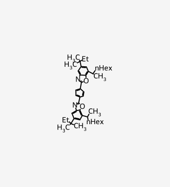 CCCCCCC(C)c1cc(C(C)(C)CC)cc2nc(-c3ccc(-c4nc5cc(C(C)(C)CC)cc(C(C)CCCCCC)c5o4)cc3)oc12